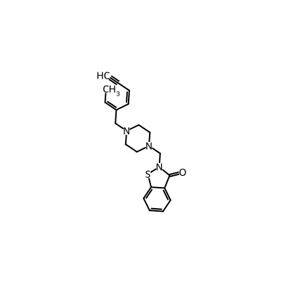 C#C/C=C\C(=C/C)CN1CCN(Cn2sc3ccccc3c2=O)CC1